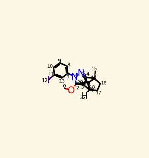 COc1c2c(nn1-c1cccc(I)c1)[C@]1(C)CC[C@H]2C1(C)C